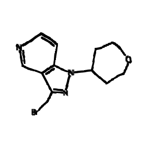 Brc1nn(C2CCOCC2)c2ccncc12